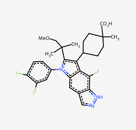 COCC(C)(C)c1c(C2CCC(C)(C(=O)O)CC2)c2c(F)c3[nH]ncc3cc2n1-c1ccc(F)c(F)c1